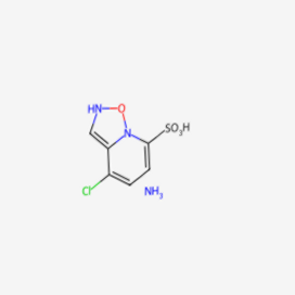 N.O=S(=O)(O)C1=CC=C(Cl)C2=CNON21